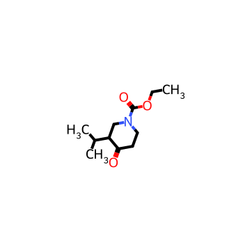 CCOC(=O)N1CCC(=O)C(C(C)C)C1